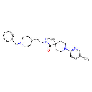 COC1(C(=O)NCCC2CCN(Cc3ccccc3)CC2)CCN(c2ccc(C(F)(F)F)cn2)CC1